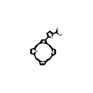 O=C(O)c1ccc(-c2cc3cc4nc(cc5ccc(cc6nc(cc2[nH]3)C=C6)[nH]5)C=C4)o1